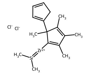 CC1=C(C)C(C)(C2=CC=CC2)[C]([Zr+2]=[Si](C)C)=C1C.[Cl-].[Cl-]